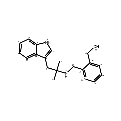 CC(C)(Cc1c[nH]c2ccccc12)NCc1ncccc1CO